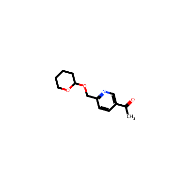 CC(=O)c1ccc(COC2CCCCO2)nc1